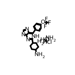 Cl.Cl.NC1CCC(c2nc3ncnc-3c(-c3ccc(OC(F)(F)F)cc3)[nH]2)CC1.NN